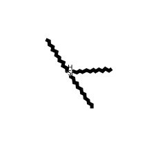 CCCCCCCCCCCCC[SiH](CCCCCCCCCCCCC)CCCCCCCCCCCCC